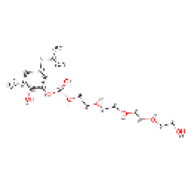 CC(=O)/C(C#N)=C/c1cc(OC(=O)OCCOCCOCCOCCO)c(O)c([N+](=O)[O-])c1